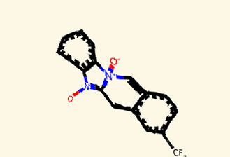 [O-][N+]1=C2C=c3cc(C(F)(F)F)ccc3=C[N+]2([O-])c2ccccc21